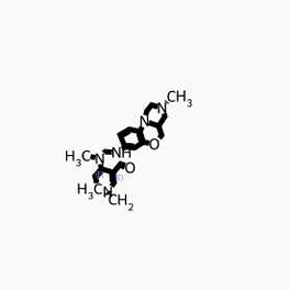 C=N/C=C(C=O)\C(=C/C)N(C)CNc1ccc2c(c1)OCC1CN(C)CCN21